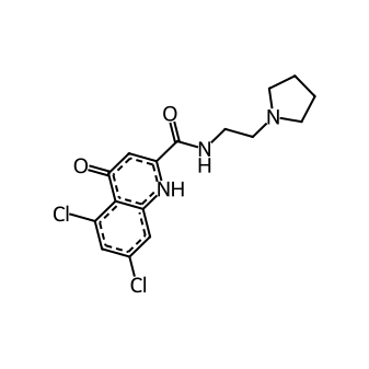 O=C(NCCN1CCCC1)c1cc(=O)c2c(Cl)cc(Cl)cc2[nH]1